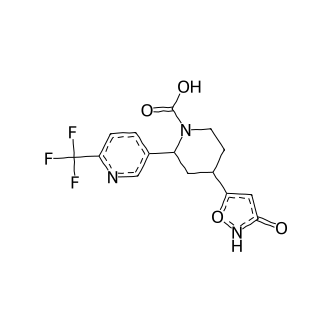 O=C(O)N1CCC(c2cc(=O)[nH]o2)CC1c1ccc(C(F)(F)F)nc1